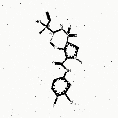 C=C[C@@](C)(O)[C@H]1COc2c(cn(C)c2C(=O)Nc2ccc(F)c(C(F)(F)F)c2)S(=O)(=O)N1